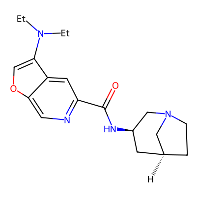 CCN(CC)c1coc2cnc(C(=O)N[C@@H]3C[C@@H]4CCN(C4)C3)cc12